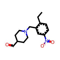 CCc1ccc([N+](=O)[O-])cc1CN1CCC([C]=O)CC1